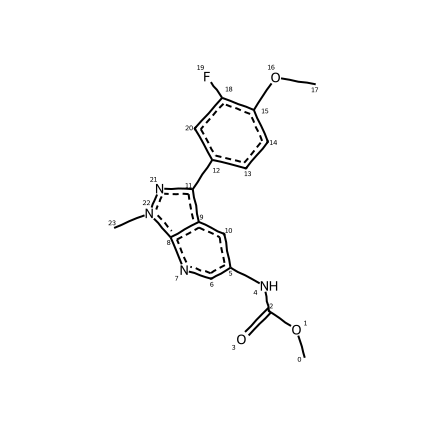 COC(=O)Nc1cnc2c(c1)c(-c1ccc(OC)c(F)c1)nn2C